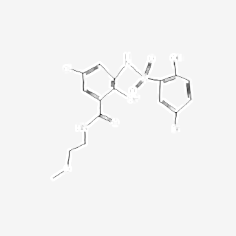 COCCNC(=O)c1cc(Cl)cc(NS(=O)(=O)c2cc(Br)ccc2O)c1O